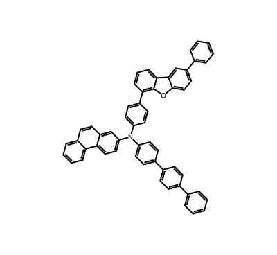 c1ccc(-c2ccc(-c3ccc(N(c4ccc(-c5cccc6c5oc5ccc(-c7ccccc7)cc56)cc4)c4ccc5c(ccc6ccccc65)c4)cc3)cc2)cc1